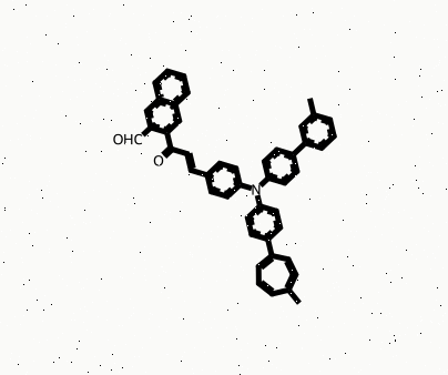 CC1=C=CC(c2ccc(N(c3ccc(/C=C/C(=O)c4cc5ccccc5cc4C=O)cc3)c3ccc(-c4cccc(C)c4)cc3)cc2)=CC=C1